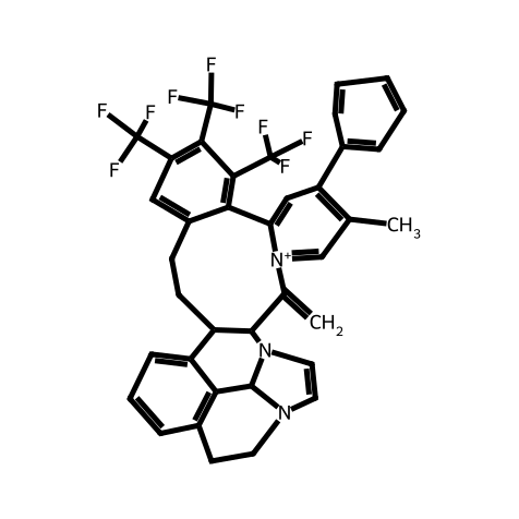 C=C1C2C(CCc3cc(C(F)(F)F)c(C(F)(F)F)c(C(F)(F)F)c3-c3cc(-c4ccccc4)c(C)c[n+]31)c1cccc3c1C1N(C=CN21)CC3